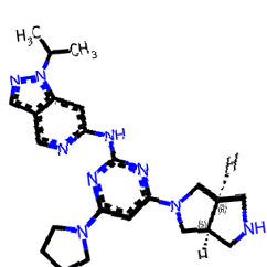 CC(C)n1ncc2cnc(Nc3nc(N4CCCC4)cc(N4C[C@H]5CNC[C@H]5C4)n3)cc21